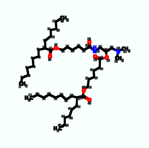 CCCCCCCCC(CCCCCC)C(=O)OCCCCCC(=O)NCC(CN(C)C)OC(=O)CCCCCOC(=O)[C@@H](CCCCCC)CCCCCCCC